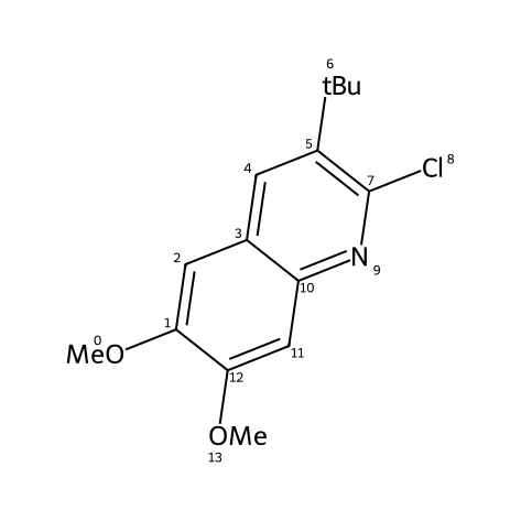 COc1cc2cc(C(C)(C)C)c(Cl)nc2cc1OC